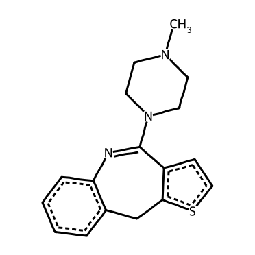 CN1CCN(C2=Nc3ccccc3Cc3sccc32)CC1